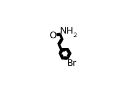 NC(=O)C=Cc1ccc(Br)cc1